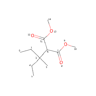 CCC(C)(CC)C(C(=O)OC)C(=O)OC